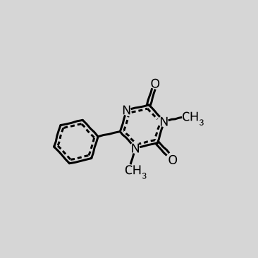 Cn1c(-c2ccccc2)nc(=O)n(C)c1=O